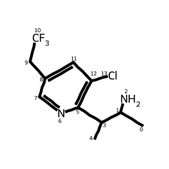 CC(N)C(C)c1ncc(CC(F)(F)F)cc1Cl